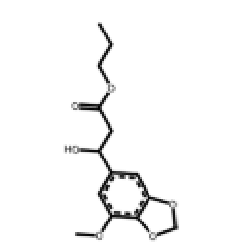 CCCOC(=O)CC(O)c1cc(OC)c2c(c1)OCO2